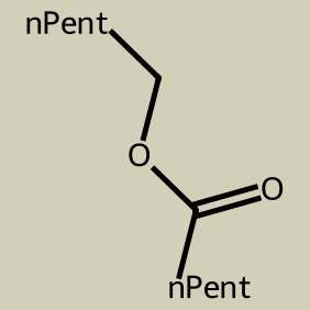 CCCCCCOC(=O)CCCCC